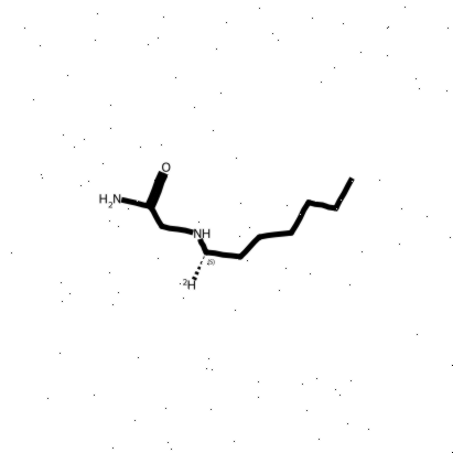 [2H][C@@H](CCCCCC)NCC(N)=O